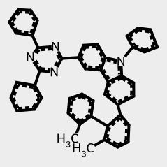 Cc1ccccc1-c1c(C)cccc1-c1ccc2c(c1)c1cc(-c3nc(-c4ccccc4)nc(-c4ccccc4)n3)ccc1n2-c1ccccc1